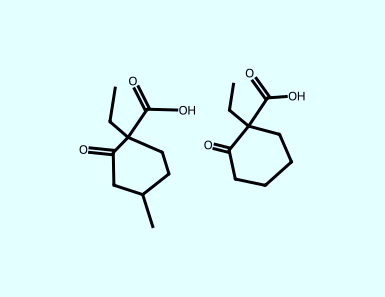 CCC1(C(=O)O)CCC(C)CC1=O.CCC1(C(=O)O)CCCCC1=O